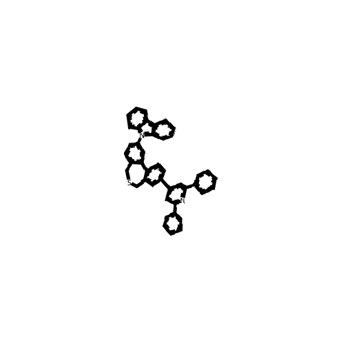 c1ccc(-c2cc(-c3ccc4c(c3)CSCc3ccc(-n5c6ccccc6c6ccccc65)cc3-4)cc(-c3ccccc3)n2)cc1